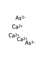 [As-3].[As-3].[Ca+2].[Ca+2].[Ca+2]